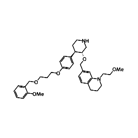 COCCN1CCCc2ccc(CO[C@H]3CNCC[C@@H]3c3ccc(OCCCOCc4ccccc4OC)cc3)cc21